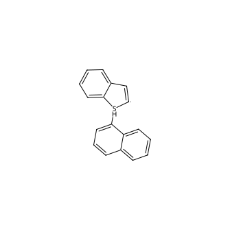 [C]1=Cc2ccccc2[SH]1c1cccc2ccccc12